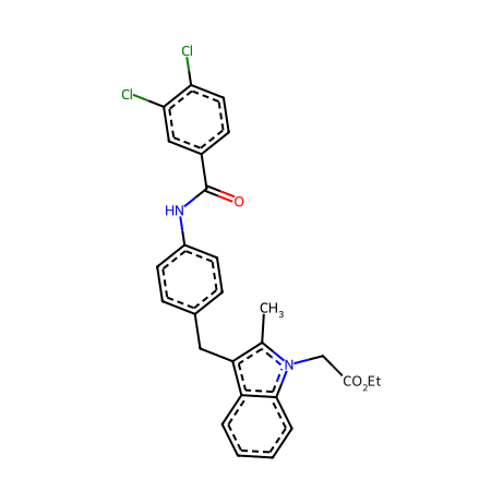 CCOC(=O)Cn1c(C)c(Cc2ccc(NC(=O)c3ccc(Cl)c(Cl)c3)cc2)c2ccccc21